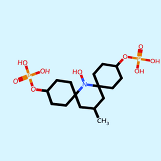 CC1CC2(CCC(OP(=O)(O)O)CC2)N(O)C2(CCC(OP(=O)(O)O)CC2)C1